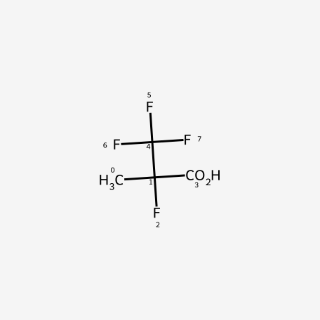 CC(F)(C(=O)O)C(F)(F)F